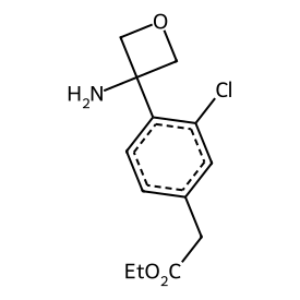 CCOC(=O)Cc1ccc(C2(N)COC2)c(Cl)c1